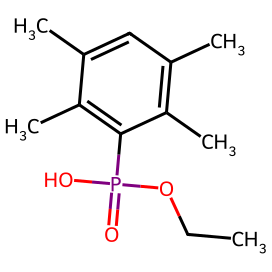 CCOP(=O)(O)c1c(C)c(C)cc(C)c1C